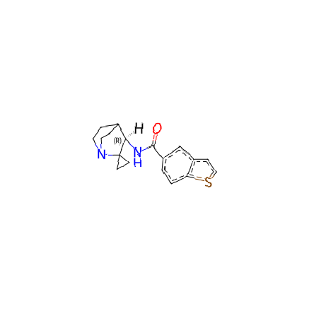 O=C(N[C@@H]1C2CCN(CC2)C12CC2)c1ccc2sccc2c1